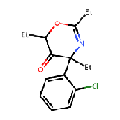 CCC1=NC(CC)(c2ccccc2Cl)C(=O)C(CC)O1